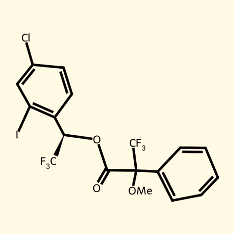 COC(C(=O)O[C@H](c1ccc(Cl)cc1I)C(F)(F)F)(c1ccccc1)C(F)(F)F